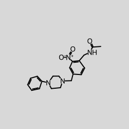 CC(=O)NCc1ccc(CN2CCN(c3ccccc3)CC2)cc1[N+](=O)[O-]